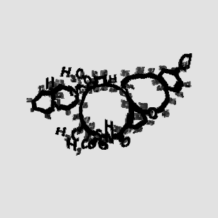 CO[C@]1(CN2CCN3CCCC[C@@H]3C2)CCC[C@H](C)[C@@H](C)S(=O)(=O)NC(=O)c2ccc3c(c2)N(CCCCc2cc(Cl)ccc2CCO3)C[C@@H]2CC[C@H]21